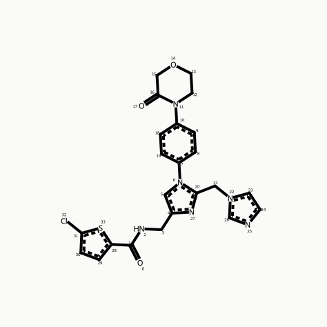 O=C(NCc1cn(-c2ccc(N3CCOCC3=O)cc2)c(Cn2ccnc2)n1)c1ccc(Cl)s1